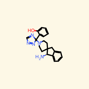 N[C@@H]1c2ccccc2CC12CCN(C1(c3ccccc3O)N=CN=N1)CC2